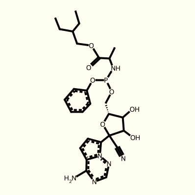 CCC(CC)COC(=O)C(C)NP(OC[C@H]1OC(C#N)(c2ccc3c(N)ncnn23)C(O)C1O)Oc1ccccc1